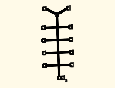 ClN(Cl)C(Cl)(Cl)C(Cl)(Cl)C(Cl)(Cl)C(Cl)(Cl)C(Cl)(Cl)Cl